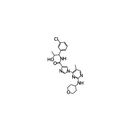 Cc1cnc(NC2CCOCC2)nc1-n1cnc(C(=O)NC(c2cccc(Cl)c2)C(C)O)c1